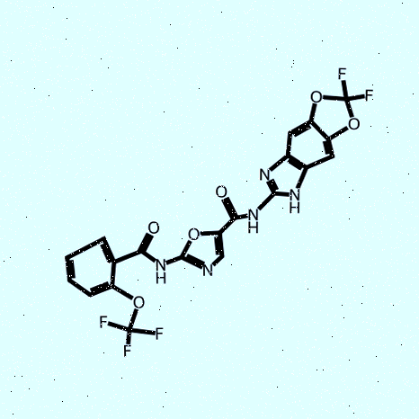 O=C(Nc1nc2cc3c(cc2[nH]1)OC(F)(F)O3)c1cnc(NC(=O)c2ccccc2OC(F)(F)F)o1